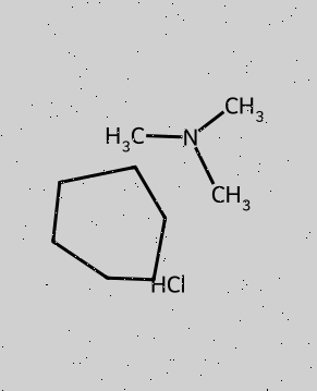 C1CCCCC1.CN(C)C.Cl